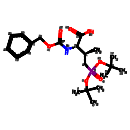 C[C@@H](CP(=O)(OC(C)(C)C)OC(C)(C)C)[C@H](NC(=O)OCc1ccccc1)C(=O)O